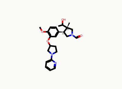 COc1ccc([C@@H]2CN(C=O)C[C@@]2(C)C(C)O)cc1OC1CCN(c2ccccn2)C1